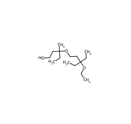 CCOC(CC)(CC)CCOC(C)(CC)CCO